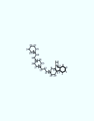 c1ccc2c3c([nH]c2c1)CN(CCCN1CCN(CCN2CCCCC2)CC1)CC3